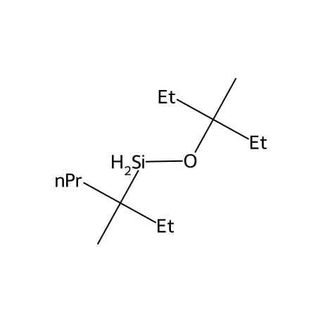 CCCC(C)(CC)[SiH2]OC(C)(CC)CC